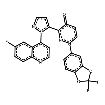 O=c1ccn(-c2ccc3c(c2)OC(F)(F)O3)nc1-c1ccnn1-c1ccnc2ccc(F)cc12